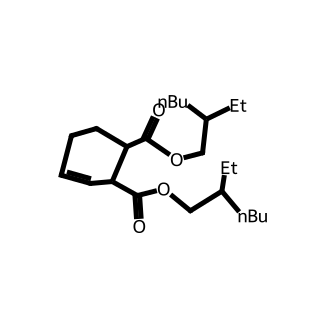 CCCCC(CC)COC(=O)C1C=CCCC1C(=O)OCC(CC)CCCC